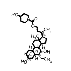 CC[C@H]1[C@@H](O)[C@H]2[C@@H]3CC[C@H]([C@H](C)CCOC(=O)N4CCC(O)CC4)C3(C)CC[C@@H]2C2(C)CC[C@@H](O)C[C@@H]12